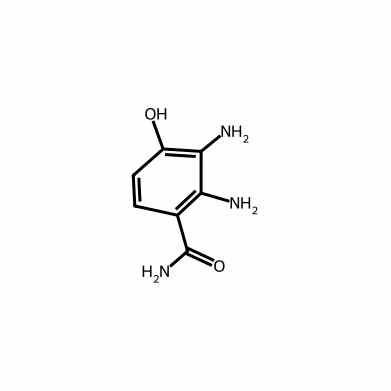 NC(=O)c1ccc(O)c(N)c1N